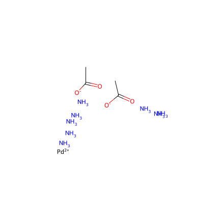 CC(=O)[O-].CC(=O)[O-].N.N.N.N.N.N.N.N.[Pd+2]